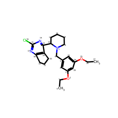 CCOc1cc(CN2CC[CH]CC2c2nc(Cl)nc3c2CCC3)cc(OCC)c1